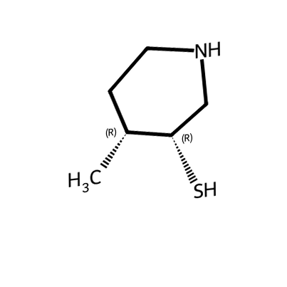 C[C@@H]1CCNC[C@@H]1S